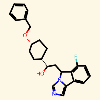 OC(CC1c2c(F)cccc2-c2cncn21)[C@H]1CC[C@@H](OCc2ccccc2)CC1